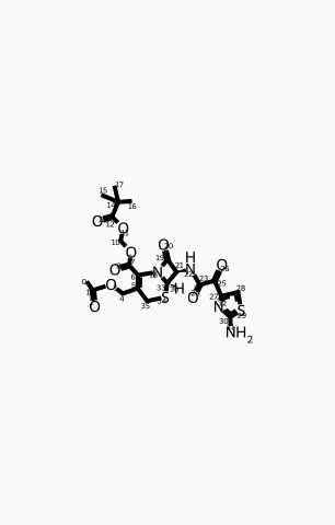 CC(=O)OCC1=C(C(=O)OCOC(=O)C(C)(C)C)N2C(=O)[C@@H](NC(=O)C(=O)c3csc(N)n3)[C@H]2SC1